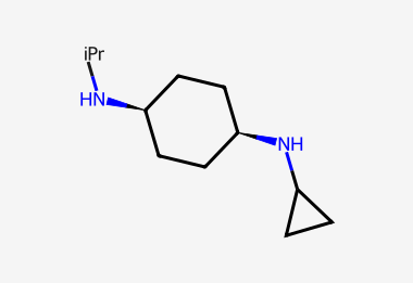 CC(C)N[C@H]1CC[C@@H](NC2CC2)CC1